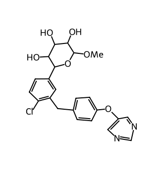 COC1OC(c2ccc(Cl)c(Cc3ccc(Oc4cncnc4)cc3)c2)C(O)C(O)C1O